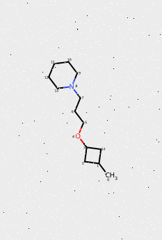 CC1CC(OCCCN2CCCCC2)C1